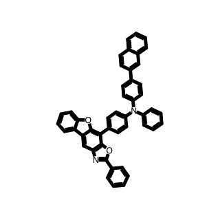 c1ccc(-c2nc3cc4c(oc5ccccc54)c(-c4ccc(N(c5ccccc5)c5ccc(-c6ccc7ccccc7c6)cc5)cc4)c3o2)cc1